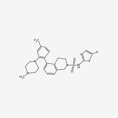 CN1CCN(c2cc(C(F)(F)F)ccc2-c2cccc3c2CCN(S(=O)(=O)Nc2ncc(F)s2)C3)CC1